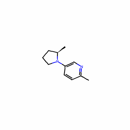 Cc1ccc(N2CCC[C@H]2C)cn1